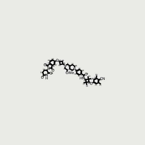 COCCN(CC1CCN(c2ccc(C(=O)NC3C(C)(C)C(Oc4cc(C)c(C#N)c(C)c4)C3(C)C)cc2)CC1)C1CC(Oc2ccc3c(c2)C(=O)N([C@@H]2CCC(=O)NC2=O)C3=O)C1